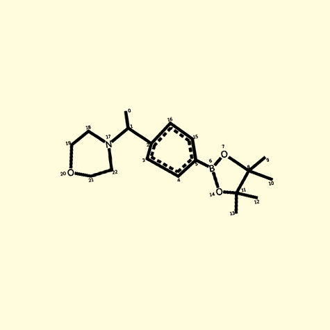 CC(c1ccc(B2OC(C)(C)C(C)(C)O2)cc1)N1CCOCC1